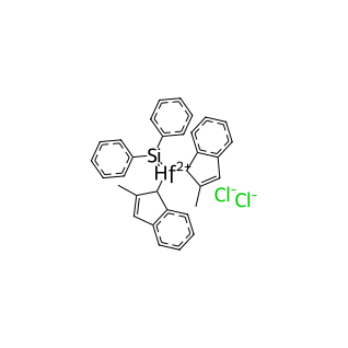 CC1=Cc2ccccc2[CH]1[Hf+2]([CH]1C(C)=Cc2ccccc21)=[Si](c1ccccc1)c1ccccc1.[Cl-].[Cl-]